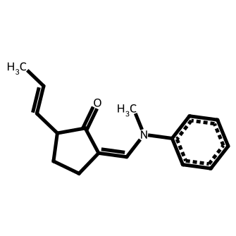 CC=CC1CCC(=CN(C)c2ccccc2)C1=O